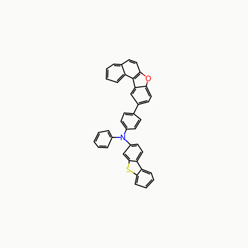 c1ccc(N(c2ccc(-c3ccc4oc5ccc6ccccc6c5c4c3)cc2)c2ccc3c(c2)sc2ccccc23)cc1